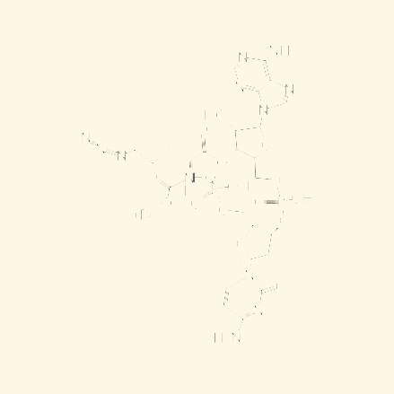 CC(C)(C)OC(=O)N[C@H](CCCN=[N+]=[N-])C(=O)OC1C(COP(=O)(O)O[C@H]2C[C@H](n3ccc(N)nc3=O)O[C@@H]2COP(=O)(O)O)OC(n2cnc3c(N)ncnc32)C1O